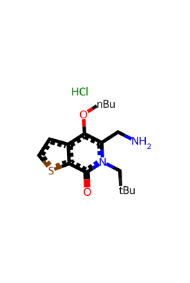 CCCCOc1c(CN)n(CC(C)(C)C)c(=O)c2sccc12.Cl